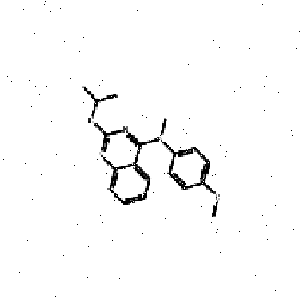 COc1ccc(N(C)c2nc(OC(C)C)nc3ccccc23)cc1